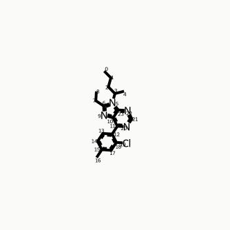 CCCC(C)n1c(CC)nc2c(-c3ccc(C)cc3Cl)ncnc21